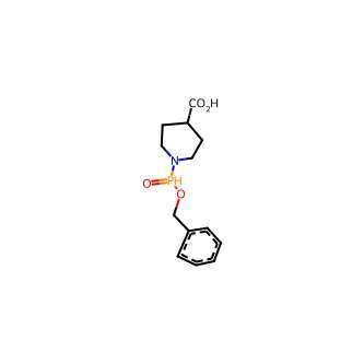 O=C(O)C1CCN([PH](=O)OCc2ccccc2)CC1